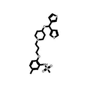 Cc1ccc(OCCCN2CCC(OC(c3ccsc3)c3ccsc3)CC2)c(NS(C)(=O)=O)c1